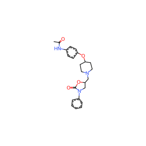 CC(=O)Nc1ccc(OC2CCN(CC3CN(c4ccccc4)C(=O)O3)CC2)cc1